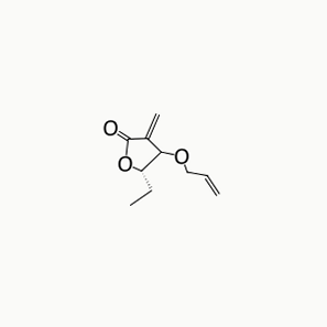 C=CCOC1C(=C)C(=O)O[C@H]1CC